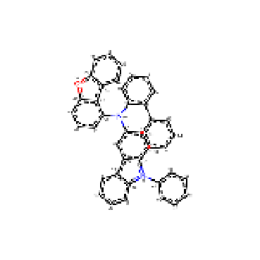 c1ccc(-c2ccccc2N(c2ccc3c(c2)c2ccccc2n3-c2ccccc2)c2cccc3oc4ccccc4c23)cc1